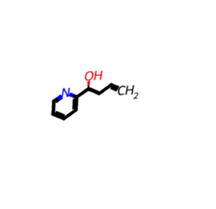 C=CC[C@H](O)c1ccccn1